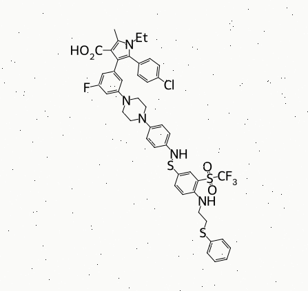 CCn1c(C)c(C(=O)O)c(-c2cc(F)cc(N3CCN(c4ccc(NSc5ccc(NCCSc6ccccc6)c(S(=O)(=O)C(F)(F)F)c5)cc4)CC3)c2)c1-c1ccc(Cl)cc1